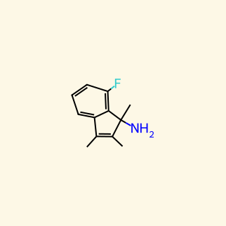 CC1=C(C)C(C)(N)c2c(F)cccc21